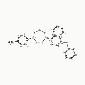 Nc1ccc(N2CCCN(c3nnc(Cc4ccccc4)c4ccccc34)CC2)nc1